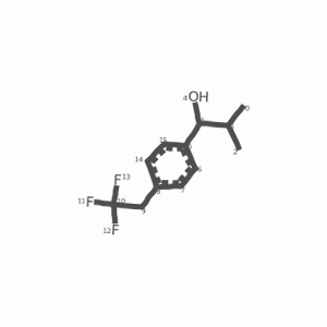 CC(C)C(O)c1ccc(CC(F)(F)F)cc1